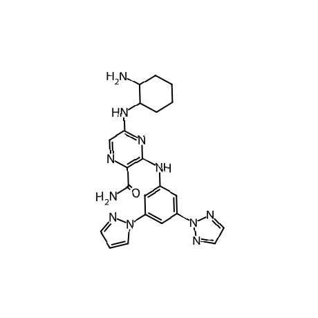 NC(=O)c1ncc(NC2CCCCC2N)nc1Nc1cc(-n2cccn2)cc(-n2nccn2)c1